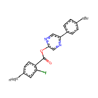 CCCCCCCc1ccc(C(=O)Oc2cnc(-c3ccc(CCCC)cc3)cn2)c(F)c1